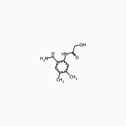 Cc1cc(NN)c(NC(=O)CO)cc1C